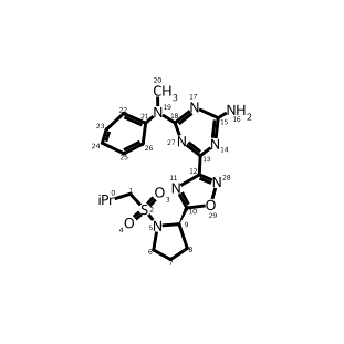 CC(C)CS(=O)(=O)N1CCC[C@@H]1c1nc(-c2nc(N)nc(N(C)c3ccccc3)n2)no1